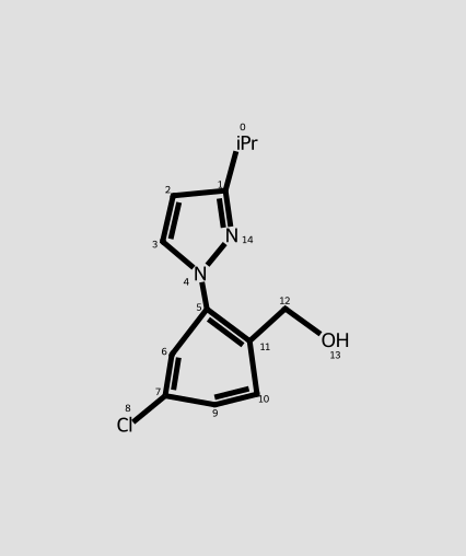 CC(C)c1ccn(-c2cc(Cl)ccc2CO)n1